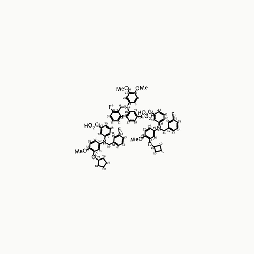 COc1ccc(N(Cc2c(F)cccc2F)c2cccc(C(=O)O)c2)cc1OC.COc1ccc(N(Cc2cccc(F)c2)c2cccc(C(=O)O)c2)cc1OC1CCC1.COc1ccc(N(Cc2cccc(F)c2)c2cccc(C(=O)O)c2)cc1OC1CCCC1